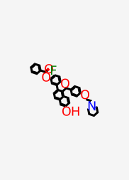 O=C(Oc1cc(-c2ccc3cc(O)ccc3c2C(=O)c2ccc(OCCN3CCCCC3)cc2)ccc1F)c1ccccc1